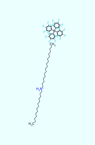 CCCCCCCCCCCCCCCCCC[NH2+]CCCCCCCCCCCCCC.Fc1c(F)c(F)c([B-](c2c(F)c(F)c(F)c(F)c2F)(c2c(F)c(F)c(F)c(F)c2F)c2c(F)c(F)c(F)c(F)c2F)c(F)c1F